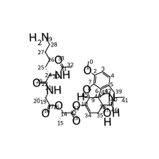 COc1ccc2c3c1O[C@H]1C(OC(=O)[C@H](C)OC(=O)[C@H](C)NC(=O)[C@H](CCCCN)NC(C)=O)=CC[C@@]4(O)[C@@H](C2)N(C)CC[C@]314